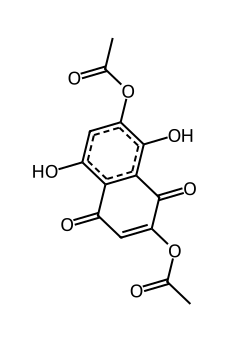 CC(=O)OC1=CC(=O)c2c(O)cc(OC(C)=O)c(O)c2C1=O